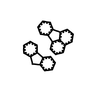 [CH]1c2ccccc2-c2ccccc21.c1ccc2c(c1)-c1cccc3cccc-2c13